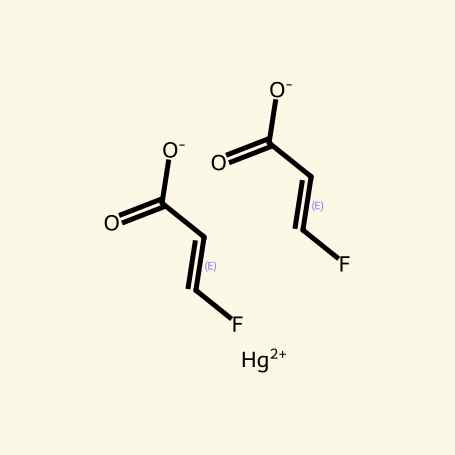 O=C([O-])/C=C/F.O=C([O-])/C=C/F.[Hg+2]